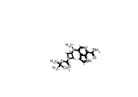 CN(c1cnc(C(N)=O)c2[nH]ccc12)C1CN(C(=O)OC(C)(C)C)C1